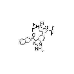 CCNC(=O)C(CCC(F)F)(CCC(F)F)c1ccc2nc(N)nc(C(=O)N3Cc4ccccc4C3)c2c1